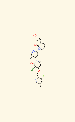 Cc1cnc(COc2cc(C)n(-c3cc(-n4cccc(C(C)(C)CO)c4=O)ncc3C)c(=O)c2Cl)c(F)c1